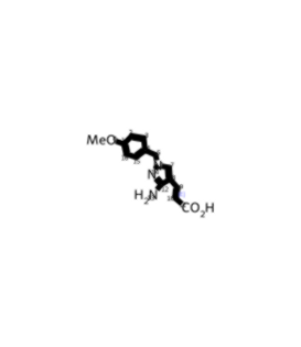 COc1ccc(Cn2cc(/C=C/C(=O)O)c(N)n2)cc1